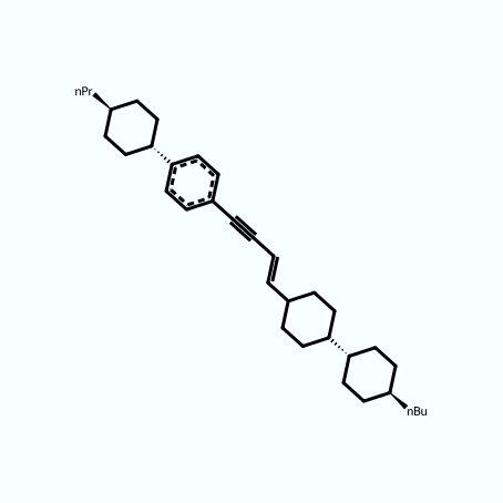 CCCC[C@H]1CC[C@H](C2CCC(/C=C/C#Cc3ccc([C@H]4CC[C@H](CCC)CC4)cc3)CC2)CC1